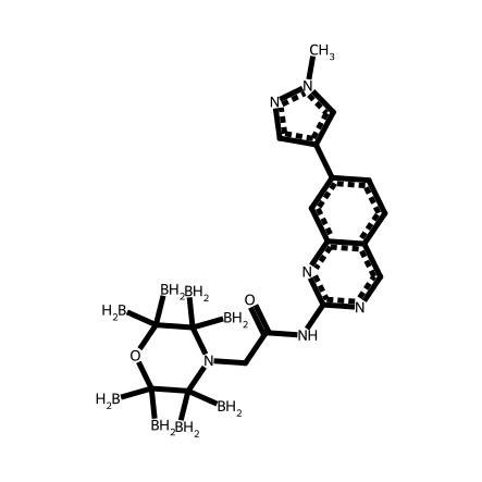 BC1(B)OC(B)(B)C(B)(B)N(CC(=O)Nc2ncc3ccc(-c4cnn(C)c4)cc3n2)C1(B)B